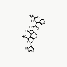 NC(=O)NC(C(=O)N[C@H]1C(=O)N2C(C(=O)O)=C(CSc3cnn[nH]3)CSC12)c1ccsc1